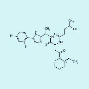 CC[C@H]1CCCCN1C(=O)CC(NC(=O)CCC(C)C)C(=O)NC(C)c1ncc(-c2ccc(F)cc2F)[nH]1